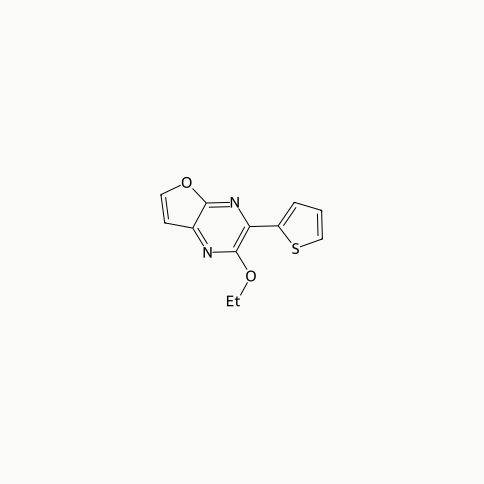 CCOc1nc2ccoc2nc1-c1cccs1